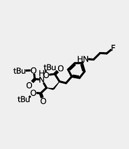 CC(C)(C)OC(=O)N[C@@H](C[C@H](Cc1ccc(NCCCF)cc1)C(=O)OC(C)(C)C)C(=O)OC(C)(C)C